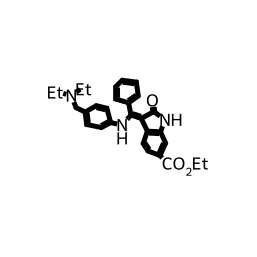 CCOC(=O)c1ccc2c(c1)NC(=O)/C2=C(/Nc1ccc(CN(CC)CC)cc1)c1ccccc1